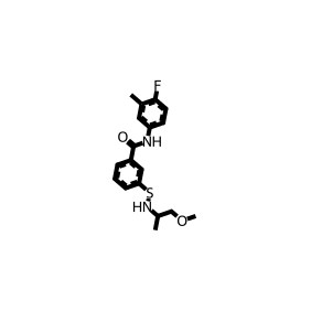 COCC(C)NSc1cccc(C(=O)Nc2ccc(F)c(C)c2)c1